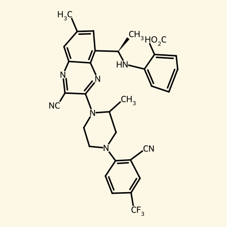 Cc1cc([C@@H](C)Nc2ccccc2C(=O)O)c2nc(N3CCN(c4ccc(C(F)(F)F)cc4C#N)CC3C)c(C#N)nc2c1